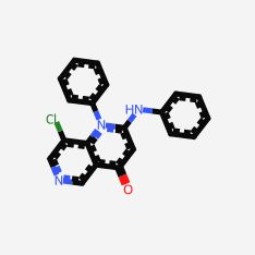 O=c1cc(Nc2ccccc2)n(-c2ccccc2)c2c(Cl)cncc12